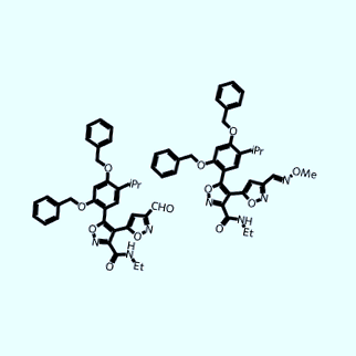 CCNC(=O)c1noc(-c2cc(C(C)C)c(OCc3ccccc3)cc2OCc2ccccc2)c1-c1cc(C=NOC)no1.CCNC(=O)c1noc(-c2cc(C(C)C)c(OCc3ccccc3)cc2OCc2ccccc2)c1-c1cc(C=O)no1